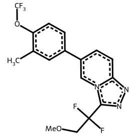 COCC(F)(F)c1nnc2ccc(-c3ccc(OC(F)(F)F)c(C)c3)cn12